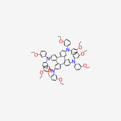 CCOc1cccc(N(c2cccc(OCC)c2)c2ccc3c(c2)-c2cc(N(c4cccc(OCC)c4)c4cccc(OCC)c4)ccc2-c2ccc(N(c4cccc(OCC)c4)c4cccc(OCC)c4)cc2-c2cc(N(c4cccc(OCC)c4)c4cccc(OCC)c4)ccc2-3)c1